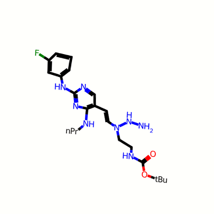 CCCNc1nc(Nc2cccc(F)c2)ncc1/C=C/N(CCNC(=O)OC(C)(C)C)NN